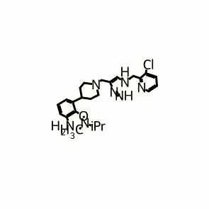 CC(C)N(C)Oc1c(N)cccc1C1CCN(C/C(=C/NCc2ncccc2Cl)N=N)CC1